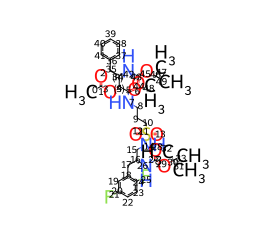 CC(=O)O[C@H](C(=O)NCCCS(=O)(=O)NCC(Cc1cc(F)ccc1F)NC(=O)OC(C)(C)C)[C@@H](Cc1ccccc1)NC(=O)OC(C)(C)C